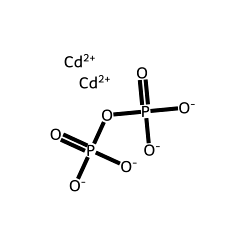 O=P([O-])([O-])OP(=O)([O-])[O-].[Cd+2].[Cd+2]